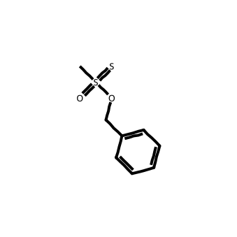 CS(=O)(=S)OCc1ccccc1